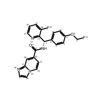 O=C(N[C@@H](c1ccc(OCF)cc1)c1ncccc1F)c1ccn2ccnc2c1